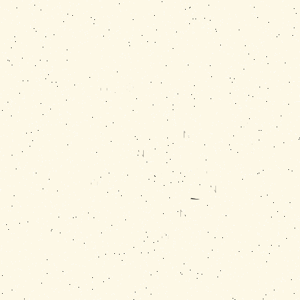 CC(C)(C)OC(=O)c1cccc(CN(C(=O)c2cc(-c3cc4c(cc3C(=O)N3Cc5ccccc5C[C@H]3CN3CCOCC3)OCO4)n3c2CCCC3)c2ccc(OCc3ccccc3)cc2)c1